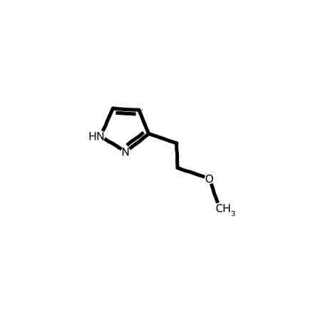 COCCc1[c]c[nH]n1